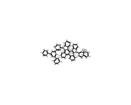 CC12C=C(n3c4ccccc4c4c5c(c6ccccc6c43)c3ccccc3c3c5c4ccccc4n3-c3ncnc(-c4cc(-c5ccccc5)cc(-c5ccccc5)c4)n3)C=CC1=CC=CC2